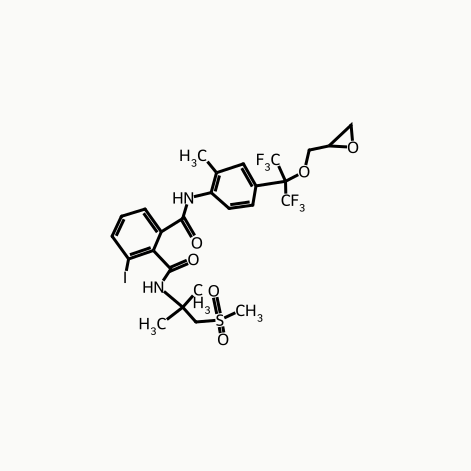 Cc1cc(C(OCC2CO2)(C(F)(F)F)C(F)(F)F)ccc1NC(=O)c1cccc(I)c1C(=O)NC(C)(C)CS(C)(=O)=O